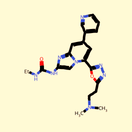 CCNC(=O)Nc1cn2c(-c3nnc(CCN(C)C)o3)cc(-c3cccnc3)cc2n1